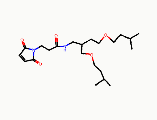 CC(C)CCOCCC(CNC(=O)CCN1C(=O)C=CC1=O)COCCC(C)C